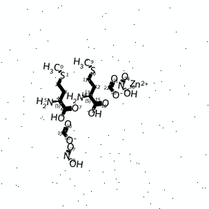 CSCC[C@H](N)C(=O)O.CSCC[C@H](N)C(=O)O.O=C[O-].O=C[O-].O=NO.O=NO.[Zn+2]